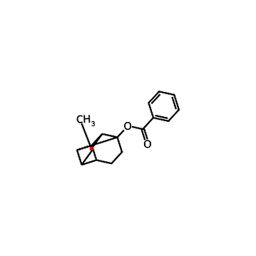 CC1CC2C3CCC4(OC(=O)c5ccccc5)C1C3C24